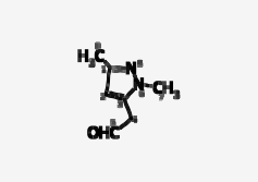 Cc1cc(CC=O)n(C)n1